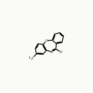 FC(F)(F)c1ccc2c(c1)N=C(Cl)c1ccccc1O2